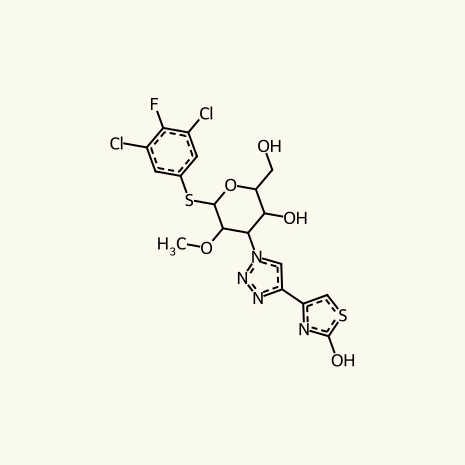 COC1C(Sc2cc(Cl)c(F)c(Cl)c2)OC(CO)C(O)C1n1cc(-c2csc(O)n2)nn1